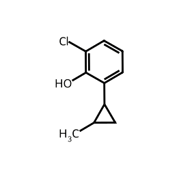 CC1CC1c1cccc(Cl)c1O